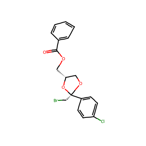 O=C(OC[C@@H]1CO[C@@](CBr)(c2ccc(Cl)cc2)O1)c1ccccc1